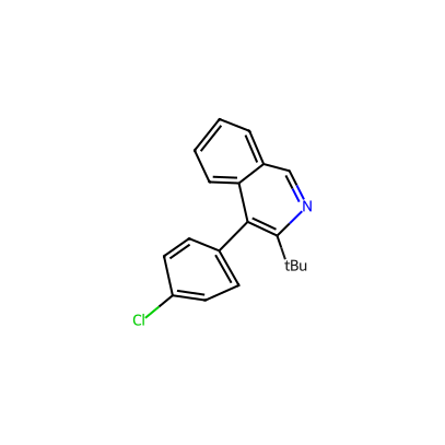 CC(C)(C)c1ncc2ccccc2c1-c1ccc(Cl)cc1